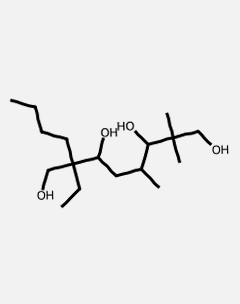 CCCCC(CC)(CO)C(O)CC(C)C(O)C(C)(C)CO